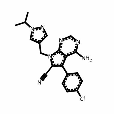 CC(C)n1cc(Cn2c(C#N)c(-c3ccc(Cl)cc3)c3c(N)ncnc32)cn1